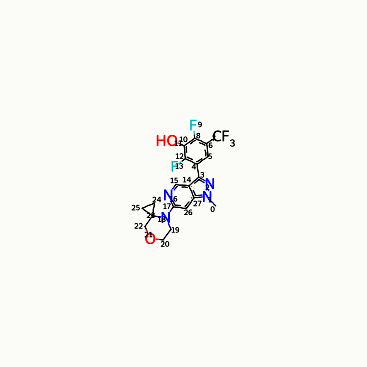 Cn1nc(-c2cc(C(F)(F)F)c(F)c(O)c2F)c2cnc(N3CCOCC34CC4)cc21